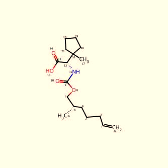 C=CCCC[C@H](C)COC(=O)N[C@H](C(=O)O)C1(C)CCCC1